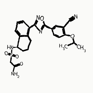 CC(C)Oc1ccc(-c2nc(-c3cccc4c3CCC[C@H]4NS(=O)(=O)CC(N)=O)no2)cc1C#N